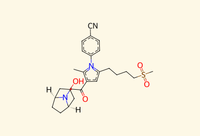 Cc1c(C(=O)CN2[C@@H]3CC[C@H]2CC(O)C3)cc(CCCCS(C)(=O)=O)n1-c1ccc(C#N)cc1